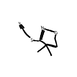 CC1(C)CON=C1SC#N